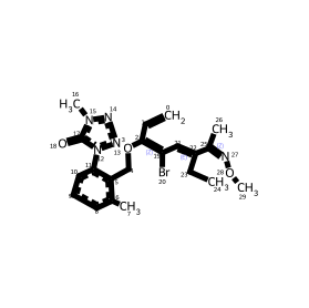 C=C\C(OCc1c(C)cccc1-n1nnn(C)c1=O)=C(Br)/C=C(CC)/C(C)=N\OC